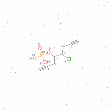 C#CCC(Cl)C(CC#C)OP(=O)(O)O